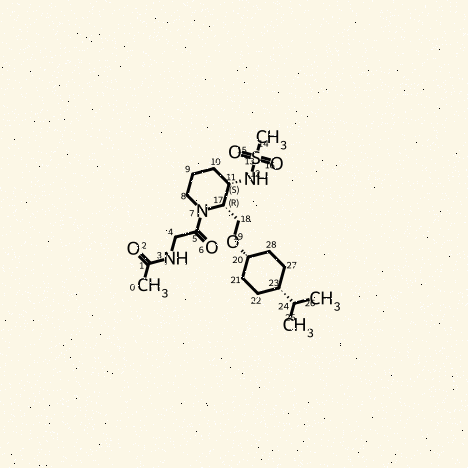 CC(=O)NCC(=O)N1CCC[C@H](NS(C)(=O)=O)[C@@H]1CO[C@H]1CC[C@@H](C(C)C)CC1